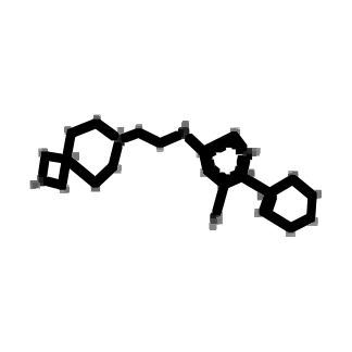 Clc1cc(OCCN2CCC3(CC2)CSC3)cnc1C1=CCCCC1